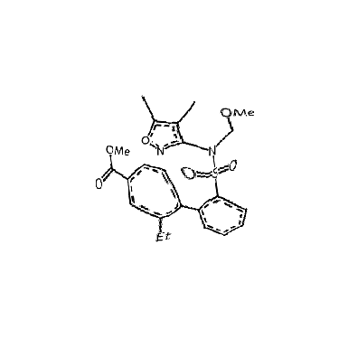 CCc1cc(C(=O)OC)ccc1-c1ccccc1S(=O)(=O)N(COC)c1noc(C)c1C